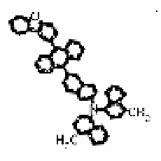 Cc1ccc(N(c2ccc3cc(-c4c5ccccc5c(-c5ccc6oc7ccccc7c6c5)c5ccccc45)ccc3c2)c2ccc(C)c3ccccc23)c2ccccc12